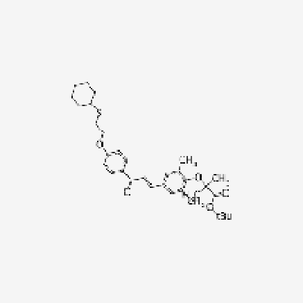 Cc1cc(/C=C/C(=O)c2ccc(OCCSC3CCCCC3)cc2)cc(C)c1OC(C)(C)C(=O)OC(C)(C)C